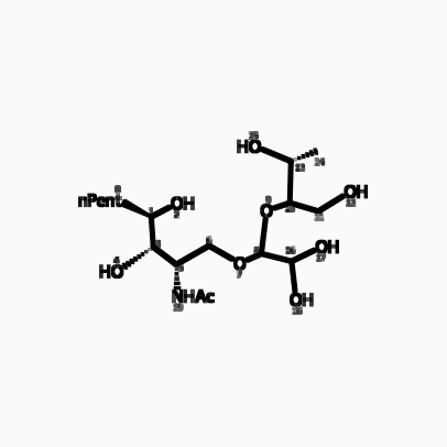 CCCCC[C@@H](O)[C@@H](O)[C@H](COC(OC(CO)[C@@H](C)O)C(O)O)NC(C)=O